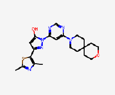 Cc1nc(C)c(-c2cc(O)n(-c3cc(N4CCC5(CCOCC5)CC4)ncn3)n2)s1